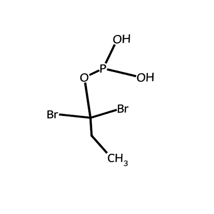 CCC(Br)(Br)OP(O)O